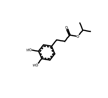 CC(C)OC(=O)[CH]Cc1ccc(O)c(O)c1